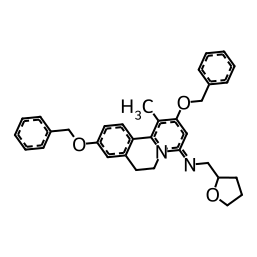 Cc1c(OCc2ccccc2)c/c(=N\CC2CCCO2)n2c1-c1ccc(OCc3ccccc3)cc1CC2